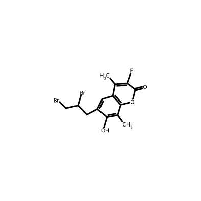 Cc1c(F)c(=O)oc2c(C)c(O)c(CC(Br)CBr)cc12